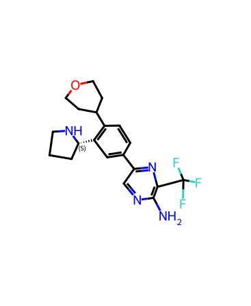 Nc1ncc(-c2ccc(C3CCOCC3)c([C@@H]3CCCN3)c2)nc1C(F)(F)F